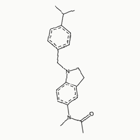 CC(=O)N(C)c1ccc2c(c1)CCN2Cc1ccc(C(C)C)cc1